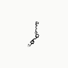 BrCCCCCCOc1cccc(C=Cc2ccc(Br)cc2)c1